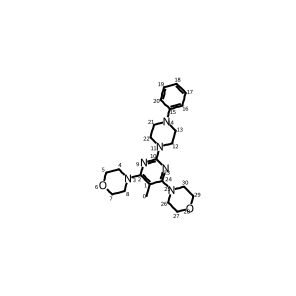 Cc1c(N2CCOCC2)nc(N2CCN(c3ccccc3)CC2)nc1N1CCOCC1